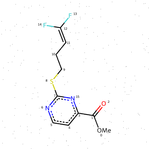 COC(=O)c1ccnc(SCCC=C(F)F)n1